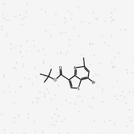 Cc1cc(Br)c2scc(C(=O)OC(C)(C)C)c2n1